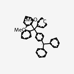 COc1ccccc1C(c1ccccc1)(c1ccc([C](c2ccccc2)c2ccccc2)cc1)c1ccccc1OC